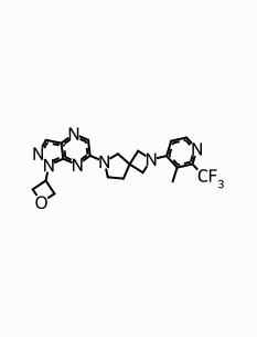 Cc1c(N2CC3(CCN(c4cnc5cnn(C6COC6)c5n4)C3)C2)ccnc1C(F)(F)F